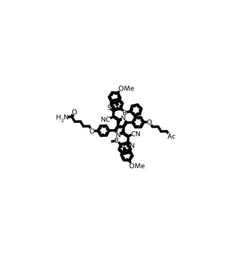 COc1ccc2sc(/C(C#N)=c3/c4c(-c5ccc(OCCCCC(C)=O)cc5)n(B(c5ccccc5)c5ccccc5)/c(=C(/C#N)c5nc6cc(OC)ccc6s5)c4c(-c4ccc(OCCCCC(N)=O)cc4)n3B(C)c3ccccc3)nc2c1